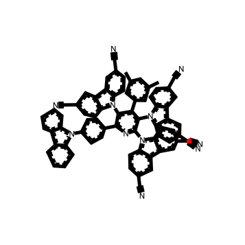 Cc1cc(C)cc(-c2c(-n3c4ccc(C#N)cc4c4cc(C#N)ccc43)c(-c3ccc(-n4c5ccccc5c5ccccc54)cc3)nc(-n3c4ccc(C#N)cc4c4cc(C#N)ccc43)c2-n2c3ccc(C#N)cc3c3cc(C#N)ccc32)c1